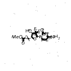 COC(=O)OC[C@H]1O[C@@H](n2ccc(N)nc2=O)C(F)(F)[C@H]1O